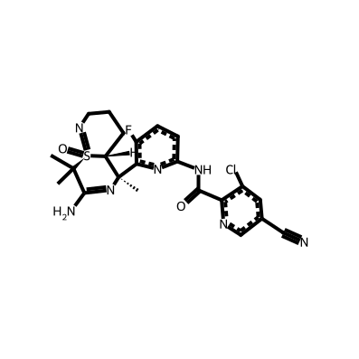 CC1(C)C(N)=N[C@](C)(c2nc(NC(=O)c3ncc(C#N)cc3Cl)ccc2F)[C@H]2CCCN=[S@@]21=O